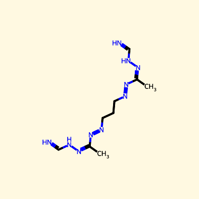 CC(=N/NC=N)/N=N/CCC/N=N/C(C)=N\NC=N